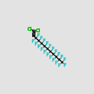 FC(F)(F)C(F)(F)C(F)(F)C(F)(F)C(F)(F)C(F)(F)C(F)(F)C(F)(F)C(F)(F)C(F)(F)C[SiH](Cl)Cl